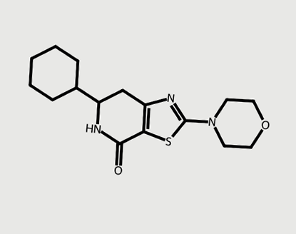 O=C1NC(C2CCCCC2)Cc2nc(N3CCOCC3)sc21